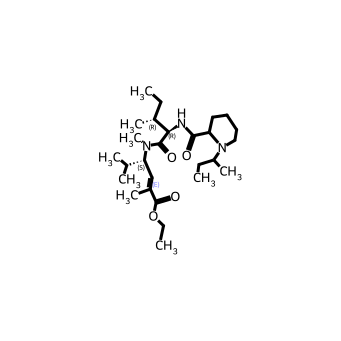 CCOC(=O)/C(C)=C/[C@H](C(C)C)N(C)C(=O)[C@H](NC(=O)C1CCCCN1C(C)CC)[C@H](C)CC